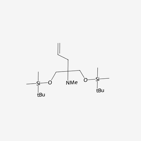 C=CCC(CO[Si](C)(C)C(C)(C)C)(CO[Si](C)(C)C(C)(C)C)NC